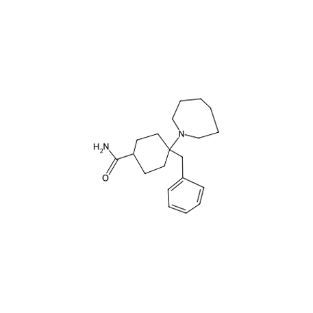 NC(=O)C1CCC(Cc2ccccc2)(N2CCCCCC2)CC1